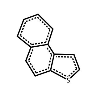 c1ccc2c(c1)ccc1sccc12